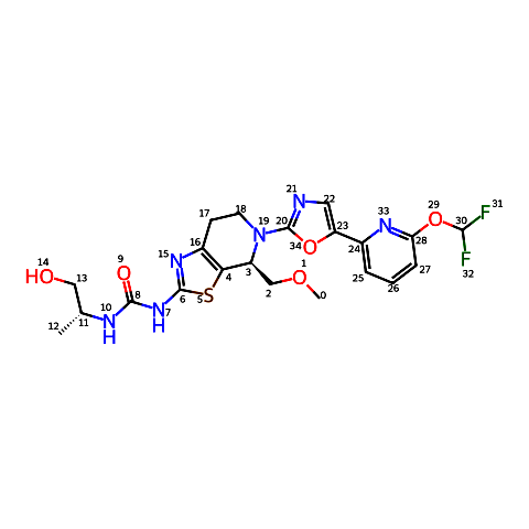 COC[C@H]1c2sc(NC(=O)N[C@H](C)CO)nc2CCN1c1ncc(-c2cccc(OC(F)F)n2)o1